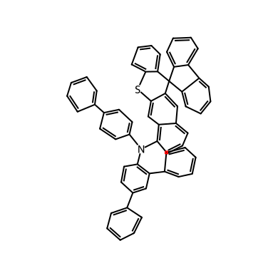 c1ccc(-c2ccc(N(c3ccc(-c4ccccc4)cc3-c3ccccc3)c3cccc4cc5c(cc34)Sc3ccccc3C53c4ccccc4-c4ccccc43)cc2)cc1